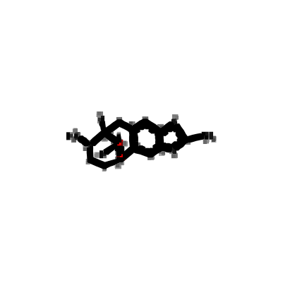 CN1CC[C@]23CCCC[C@H]2[C@H]1Cc1cc2sc(N)nc2cc13